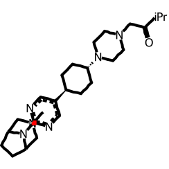 CC(C)C(=O)CN1CCN([C@H]2CC[C@H](c3cnc(N4C5CCC4CN(C)C5)nc3)CC2)CC1